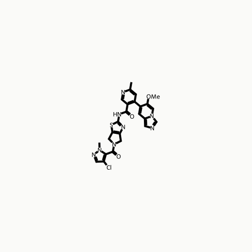 COc1cn2cncc2cc1-c1cc(C)ncc1C(=O)Nc1nc2c(s1)CN(C(=O)c1c(Cl)cnn1C)C2